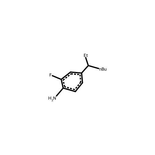 CCCCC(CC)c1ccc(N)c(F)c1